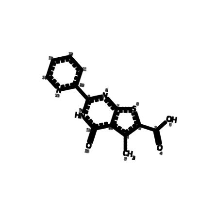 Cc1c(C(=O)O)sc2nc(-c3ccccn3)[nH]c(=O)c12